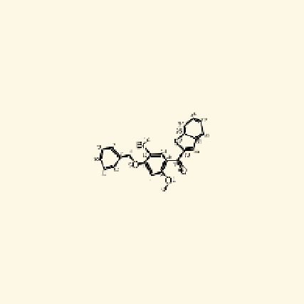 COc1cc(OCc2ccccc2)c(Br)cc1C(=O)c1cc2ccccc2s1